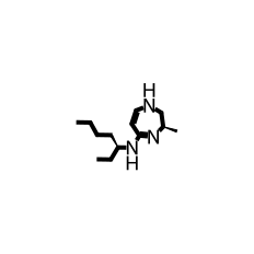 CCCC[C@H](CC)NC1=N[C@H](C)CNC=C1